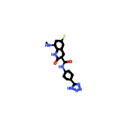 CNc1cc(F)cc2cc(C(=O)Nc3ccc(-c4nnn[nH]4)cc3)c(=O)[nH]c12